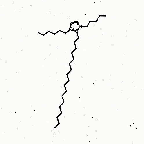 CCCCCCCCCCCCCCCCCCc1n(CCCCC)cc[n+]1CCCCCC